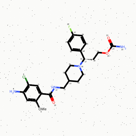 COc1cc(N)c(Cl)cc1C(=O)NCC1CCN([C@@H](CCOC(N)=O)c2ccc(F)cc2)CC1